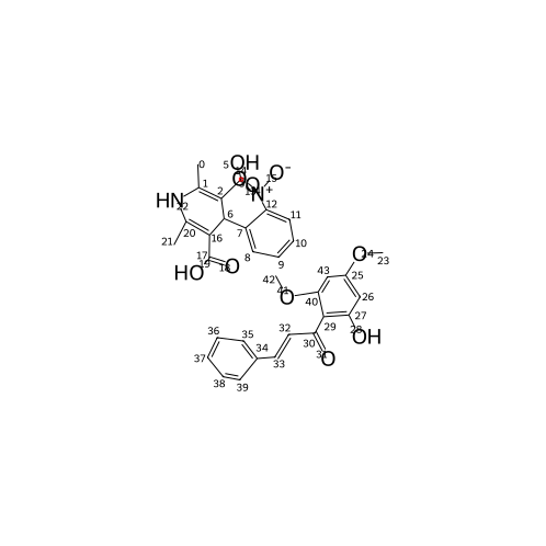 CC1=C(C(=O)O)C(c2ccccc2[N+](=O)[O-])C(C(=O)O)=C(C)N1.COc1cc(O)c(C(=O)C=Cc2ccccc2)c(OC)c1